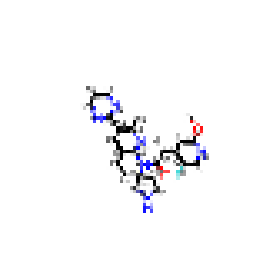 COc1cc([C@@H](C)C(=O)N2c3nc(C)c(-c4ncccn4)cc3CC[C@@]23CCNC3)c(F)cn1